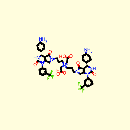 Nc1ccc([C@H]2NC(=O)N(c3cccc(C(F)(F)F)c3)C3=C2C(=O)N(CCC[N+](CCCN2CC4=C(C2=O)[C@@H](c2ccc(N)cc2)NC(=O)N4c2cccc(C(F)(F)F)c2)(CC(=O)O)CC(=O)O)C3)cc1